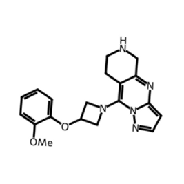 COc1ccccc1OC1CN(c2c3c(nc4ccnn24)CNCC3)C1